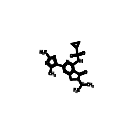 Cc1nc(C)c(-c2cc3c(c(NS(=O)(=O)C4CC4)n2)C(=O)N([C@@H](C)C(F)(F)F)C3)s1